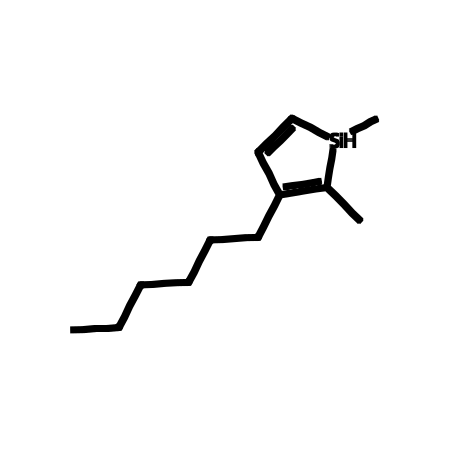 CCCCCCC1=C(C)[SiH](C)C=C1